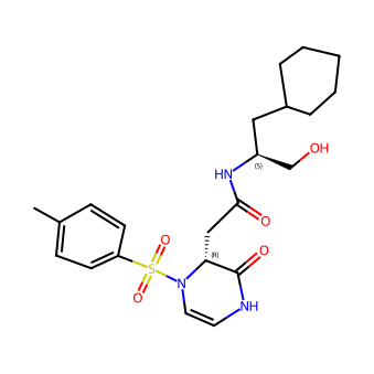 Cc1ccc(S(=O)(=O)N2C=CNC(=O)[C@H]2CC(=O)N[C@H](CO)CC2CCCCC2)cc1